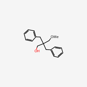 COCC(CO)(Cc1ccccc1)Cc1ccccc1